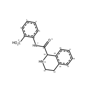 O=C(O)c1ccccc1NC(=O)C1NCCc2ccccc21